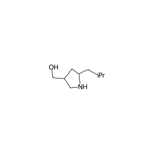 CC(C)CC1CC(CO)CN1